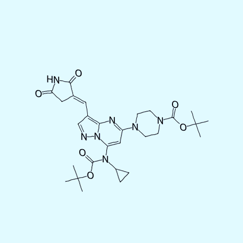 CC(C)(C)OC(=O)N1CCN(c2cc(N(C(=O)OC(C)(C)C)C3CC3)n3ncc(C=C4CC(=O)NC4=O)c3n2)CC1